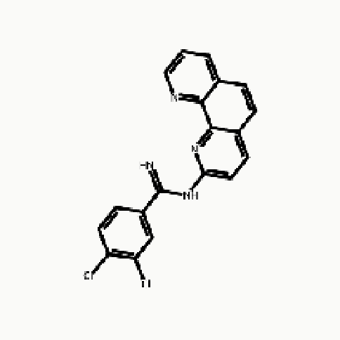 N=C(Nc1ccc2ccc3cccnc3c2n1)c1ccc(Cl)c(Cl)c1